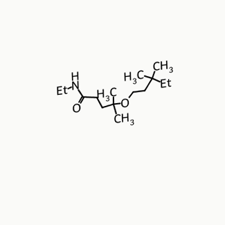 CCNC(=O)CCC(C)(C)OCCC(C)(C)CC